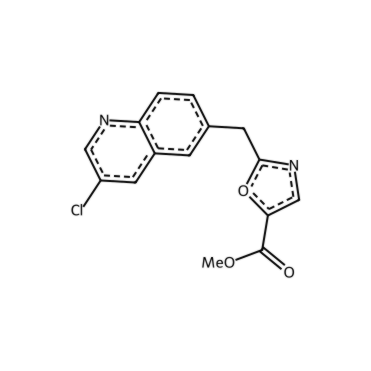 COC(=O)c1cnc(Cc2ccc3ncc(Cl)cc3c2)o1